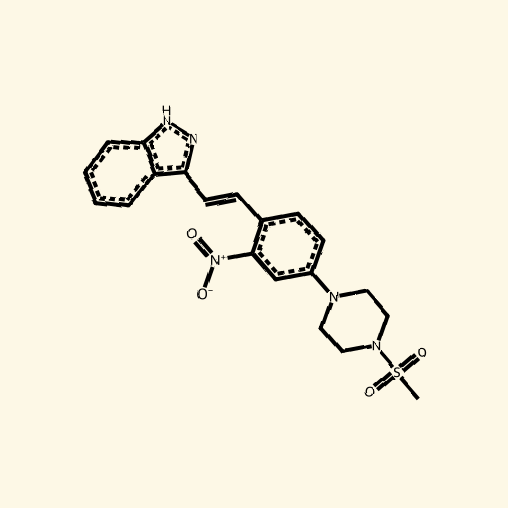 CS(=O)(=O)N1CCN(c2ccc(C=Cc3n[nH]c4ccccc34)c([N+](=O)[O-])c2)CC1